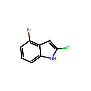 Clc1cc2c(Br)cccc2[nH]1